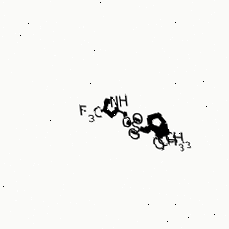 CC1(C)C2CCC1(CS(=O)(=O)OC[C@H]1C[C@@H](C(F)(F)F)CN1)C(=O)C2